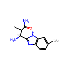 CCC(C(N)=O)[C@H](N)c1nc2ccc(C(C)(C)C)cc2[nH]1